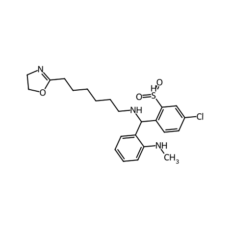 CNc1ccccc1C(NCCCCCCC1=NCCO1)c1ccc(Cl)cc1[SH](=O)=O